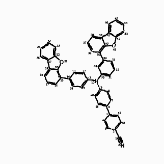 N#Cc1ccc(-c2ccc(N(c3ccc(-c4cccc5c4oc4ccccc45)cc3)c3cccc(-c4cccc5c4oc4ccccc45)c3)cc2)cc1